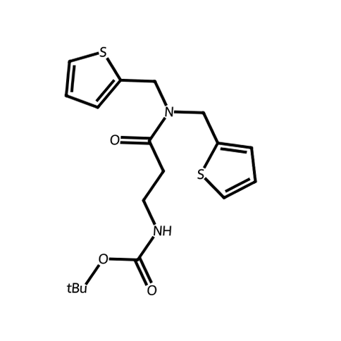 CC(C)(C)OC(=O)NCCC(=O)N(Cc1cccs1)Cc1cccs1